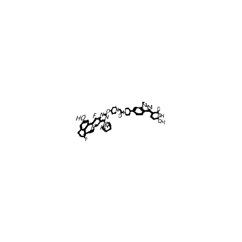 C#Cc1c(F)ccc2cc(O)cc(-c3ncc4c(N5CC6CCC(C5)N6)nc(OC5CCN(CC(=O)N6CCC(c7ccc8c(C9CCC(O)NC9=O)nn(C)c8c7)CC6)CC5)nc4c3F)c12